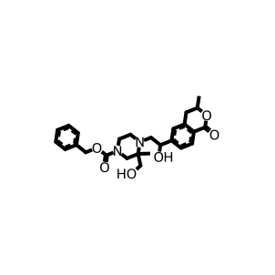 CC1Cc2cc(C(O)CN3CCN(C(=O)OCc4ccccc4)CC3(C)CO)ccc2C(=O)O1